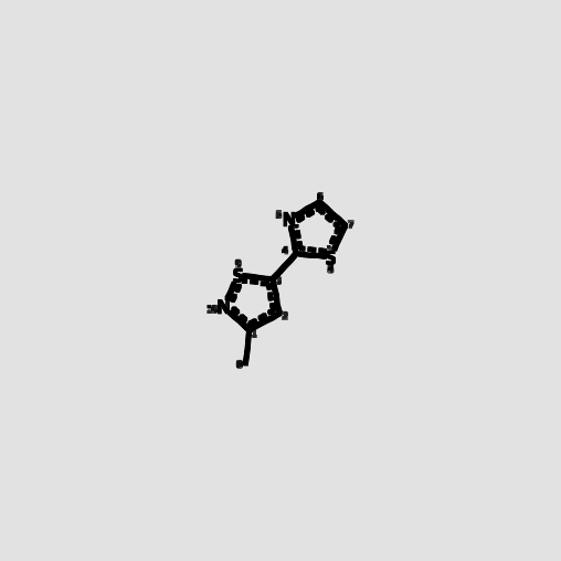 Cc1cc(-c2nccs2)sn1